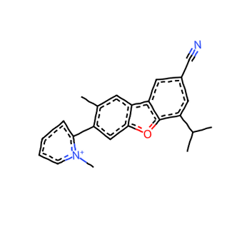 Cc1cc2c(cc1-c1cccc[n+]1C)oc1c(C(C)C)cc(C#N)cc12